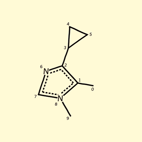 Cc1c(C2CC2)ncn1C